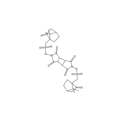 CC1(C)C2CCC1(CS(=O)(=O)ON1C(=O)C3C(C1=O)C1C(=O)N(OS(=O)(=O)CC45CCC(CC4=O)C5(C)C)C(=O)C31)C(=O)C2